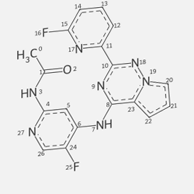 CC(=O)Nc1cc(Nc2nc(-c3cccc(F)n3)nn3cccc23)c(F)cn1